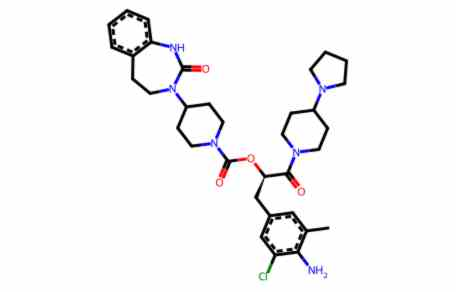 Cc1cc(C[C@@H](OC(=O)N2CCC(N3CCc4ccccc4NC3=O)CC2)C(=O)N2CCC(N3CCCC3)CC2)cc(Cl)c1N